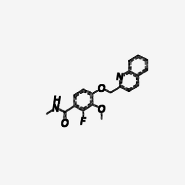 CNC(=O)c1ccc(OCc2ccc3ccccc3n2)c(OC)c1F